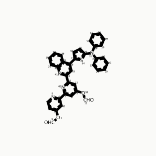 O=COc1ccnc(-c2cc(OC=O)cc(-c3cc(-c4ccc(N(c5ccccc5)c5ccccc5)s4)c4ccccc4n3)n2)c1